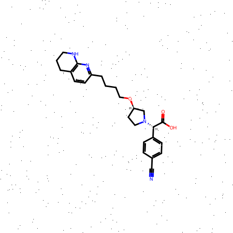 N#Cc1ccc([C@@H](C(=O)O)N2CC[C@@H](OCCCCc3ccc4c(n3)NCCC4)C2)cc1